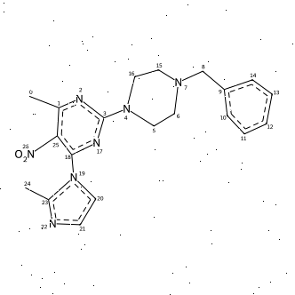 Cc1nc(N2CCN(Cc3ccccc3)CC2)nc(-n2ccnc2C)c1[N+](=O)[O-]